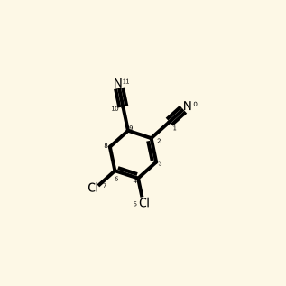 N#CC1=CC(Cl)=C(Cl)CC1C#N